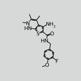 COc1ccc(CNC(=O)c2sc3c(c2N)C(C)=C(C)N(C)N3)cc1F